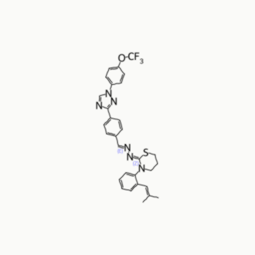 CC(C)=Cc1ccccc1N1CCCS/C1=N\N=C\c1ccc(-c2ncn(-c3ccc(OC(F)(F)F)cc3)n2)cc1